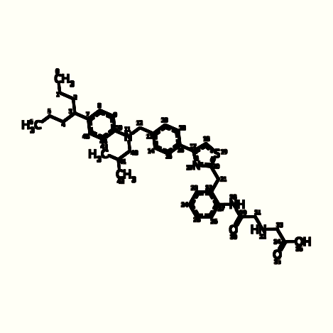 CCCC(CCC)c1ccc(N(Cc2ccc(-c3csc(Cc4ccccc4NC(=O)CNCC(=O)O)n3)cc2)CC(C)C)cc1